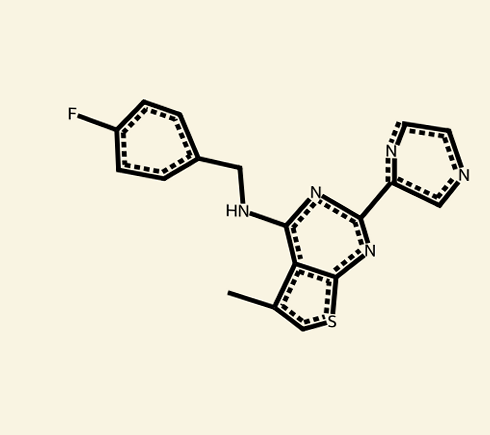 Cc1csc2nc(-c3cnccn3)nc(NCc3ccc(F)cc3)c12